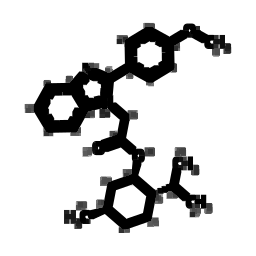 COc1ccc(-c2nc3ccccc3n2CC(=O)O[C@@H]2C[C@H](C)CC[C@H]2C(C)C)cc1